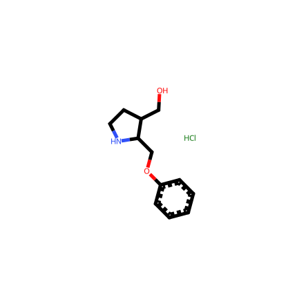 Cl.OCC1CCNC1COc1ccccc1